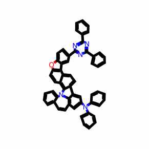 C1=Cc2cc(N(c3ccccc3)c3ccccc3)cc3c4ccc5c(ccc6oc7ccc(-c8nc(-c9ccccc9)nc(-c9ccccc9)n8)cc7c65)c4n(c23)-c2ccccc21